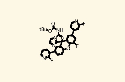 CC(C)(C)OC(=O)NC1=NC2(c3cc(-c4cccnc4F)ccc3Oc3c(F)cc(-c4ccnc(F)c4)cc32)c2nccn21